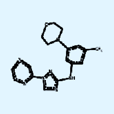 FC(F)(F)c1cc(Nc2ncn(-c3cnccn3)n2)cc(N2CCOCC2)c1